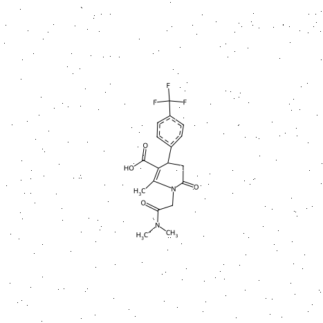 CC1=C(C(=O)O)C(c2ccc(C(F)(F)F)cc2)CC(=O)N1CC(=O)N(C)C